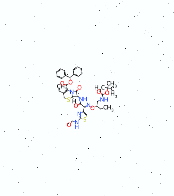 C=CC1=C(C(=O)OC(c2ccccc2)c2ccccc2)N2C(=O)C(NC(=O)C(=NOC(CC)CNC(=O)OC(C)(C)C)c3csc(NC=O)n3)[C@@H]2SC1